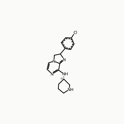 Clc1ccc(C2CN3C=CN=C(N[C@H]4CCCNC4)C3=N2)cc1